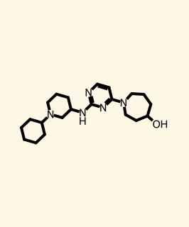 OC1CCCN(c2ccnc(NC3CCCN(C4CCCCC4)C3)n2)CC1